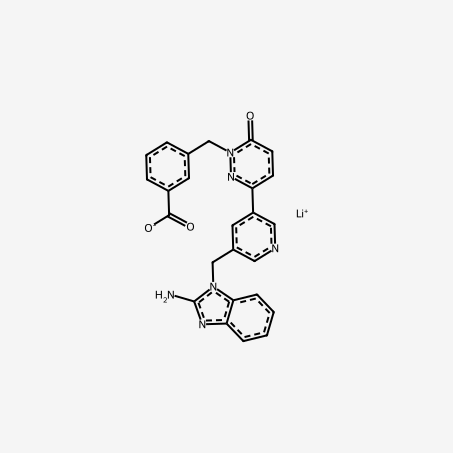 Nc1nc2ccccc2n1Cc1cncc(-c2ccc(=O)n(Cc3cccc(C(=O)[O-])c3)n2)c1.[Li+]